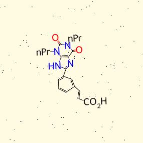 CCCn1c(=O)c2nc(-c3cccc(C=CC(=O)O)c3)[nH]c2n(CCC)c1=O